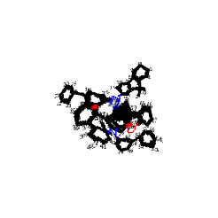 CC1(C)c2ccccc2-c2ccc(N(c3ccc(-c4ccccc4)cc3)c3ccccc3-c3ccccc3C3=CC=CCC3(C)N(c3cccc(-c4ccccc4)c3)c3cccc4c3oc3ccccc34)cc21